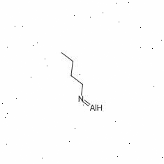 CCCC[N]=[AlH]